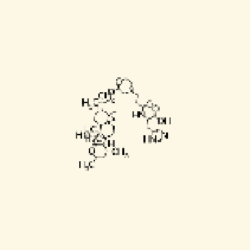 CC1C[C@@H](C)[C@H]2C(O1)[C@H](O)[C@@]1(C)C3CC[C@H]4C(C)(C)C(OC5CN(CCC(=O)NC(Cc6cnc[nH]6)C(=O)O)CCO5)CCC45CC35CCC21C